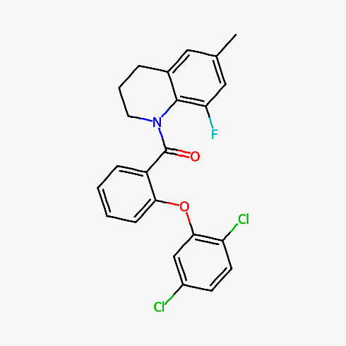 Cc1cc(F)c2c(c1)CCCN2C(=O)c1ccccc1Oc1cc(Cl)ccc1Cl